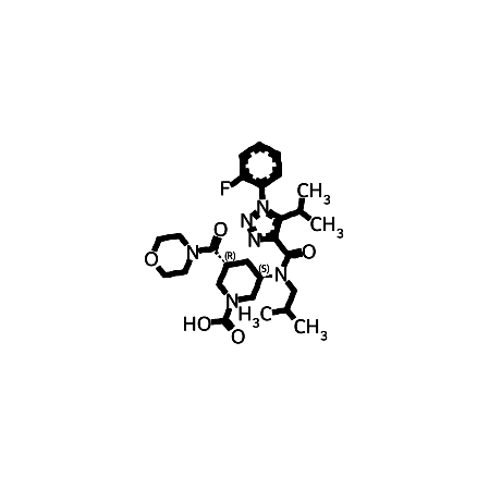 CC(C)CN(C(=O)c1nnn(-c2ccccc2F)c1C(C)C)[C@H]1C[C@@H](C(=O)N2CCOCC2)CN(C(=O)O)C1